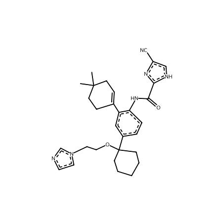 CC1(C)CC=C(c2cc(C3(OCCn4ccnc4)CCCCC3)ccc2NC(=O)c2nc(C#N)c[nH]2)CC1